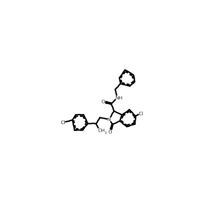 CC(CN1C(=O)c2ccc(Cl)cc2C1C(=O)NCc1ccccc1)c1ccc(Cl)cc1